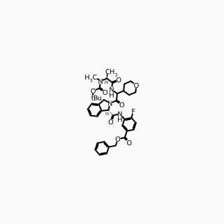 C[C@@H](C(=O)NC(C(=O)N1Cc2ccccc2[C@H]1C(=O)Nc1cc(C(=O)OCc2ccccc2)ccc1F)C1CCOCC1)N(C)C(=O)OC(C)(C)C